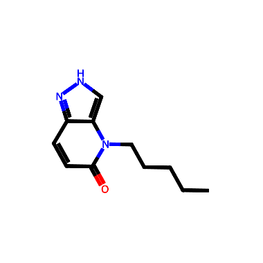 CCCCCn1c(=O)ccc2n[nH]cc21